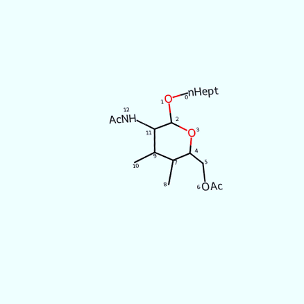 CCCCCCCOC1OC(COC(C)=O)C(C)C(C)C1NC(C)=O